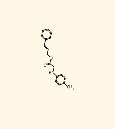 Cc1ccc(NCC(=O)OCC=Cc2ccccc2)cc1